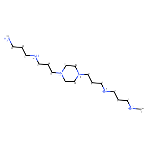 CC(C)NCCCNCCCN1CCN(CCCNCCCN)CC1